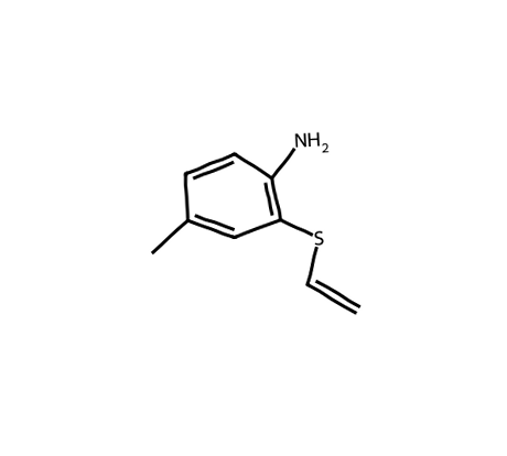 C=CSc1cc(C)ccc1N